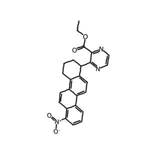 CCOC(=O)c1nccnc1C1CCCc2c1ccc1c2ccc2c([N+](=O)[O-])cccc21